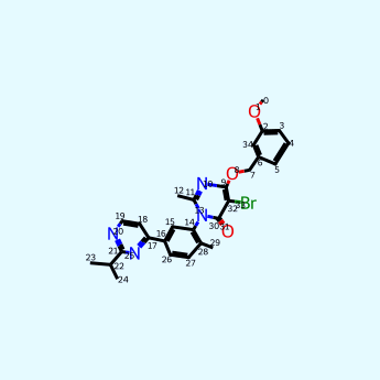 COc1cccc(COc2nc(C)n(-c3cc(-c4ccnc(C(C)C)n4)ccc3C)c(=O)c2Br)c1